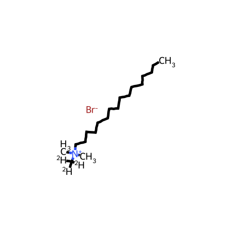 [2H]C([2H])([2H])[N+](C)(C)CCCCCCCCCCCCCCCC.[Br-]